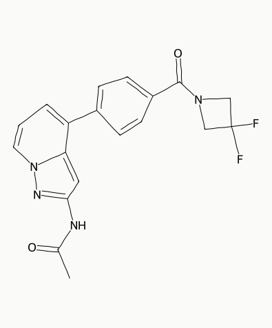 CC(=O)Nc1cc2c(-c3ccc(C(=O)N4CC(F)(F)C4)cc3)cccn2n1